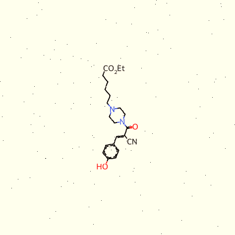 CCOC(=O)CCCCCN1CCN(C(=O)C(C#N)=Cc2ccc(O)cc2)CC1